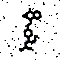 C=C(/C=C(\C=C/C)N1CCN(CCN2c3ccccc3NC3OC32)CC1)C(F)(F)F